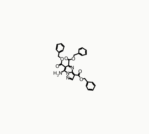 Nc1c(C(=O)OCc2ccccc2)c(C(=O)OCc2ccccc2)nc2c(C(=O)OCc3ccccc3)cnn12